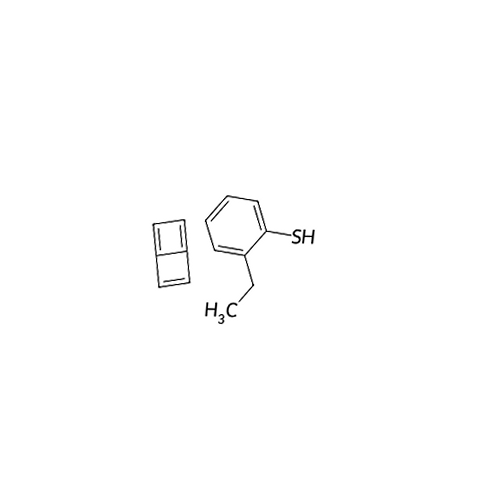 CCc1ccccc1S.c1cc2ccc1-2